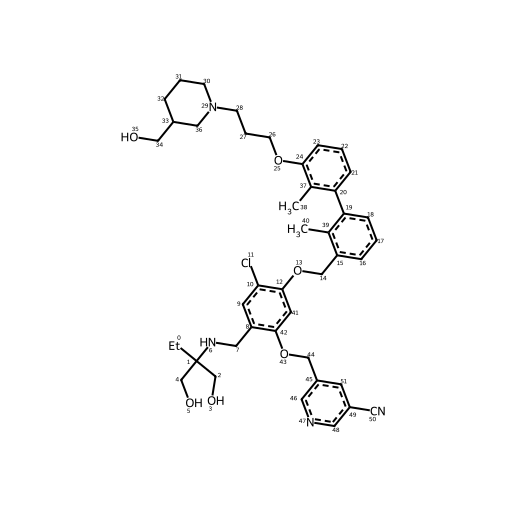 CCC(CO)(CO)NCc1cc(Cl)c(OCc2cccc(-c3cccc(OCCCN4CCCC(CO)C4)c3C)c2C)cc1OCc1cncc(C#N)c1